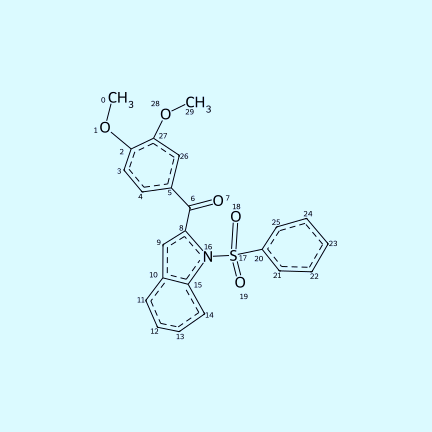 COc1ccc(C(=O)c2cc3ccccc3n2S(=O)(=O)c2ccccc2)cc1OC